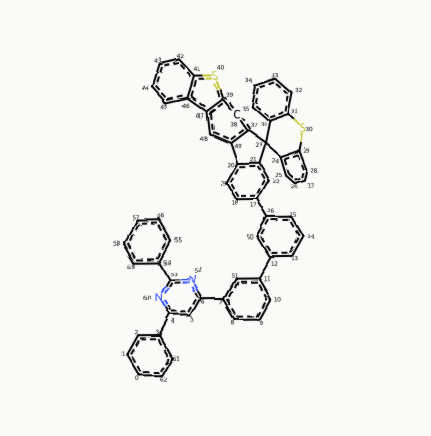 c1ccc(-c2cc(-c3cccc(-c4cccc(-c5ccc6c(c5)C5(c7ccccc7Sc7ccccc75)c5cc7sc8ccccc8c7cc5-6)c4)c3)nc(-c3ccccc3)n2)cc1